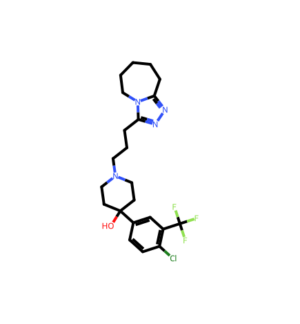 OC1(c2ccc(Cl)c(C(F)(F)F)c2)CCN(CCCc2nnc3n2CCCCC3)CC1